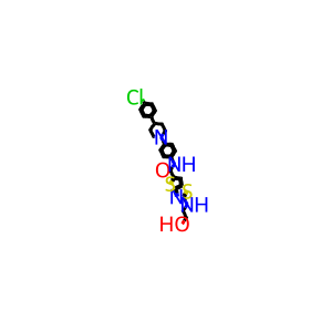 O=C(Nc1ccc(N2CCC(c3ccc(Cl)cc3)CC2)cc1)c1cc2sc(NCCO)nc2s1